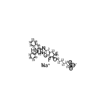 O=c1c(Cc2cc(F)c(OCCCCCCS(=O)(=O)[O-])c(F)c2)nc2c(Cc3ccccc3)[nH]c(-c3ccccc3)cn1-2.[Na+]